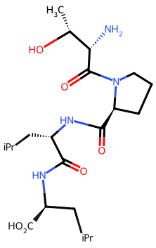 CC(C)C[C@H](NC(=O)[C@H](CC(C)C)NC(=O)[C@@H]1CCCN1C(=O)[C@@H](N)[C@@H](C)O)C(=O)O